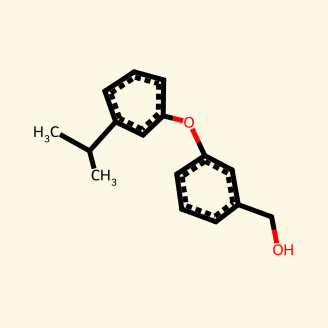 CC(C)c1cccc(Oc2cccc(CO)c2)c1